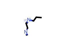 C=NC/C=N\CCC